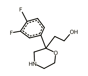 OCCC1(c2ccc(F)c(F)c2)CNCCO1